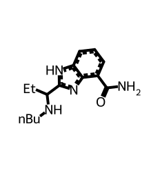 CCCCNC(CC)c1nc2c(C(N)=O)cccc2[nH]1